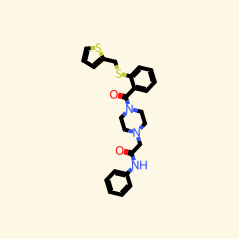 O=C(CN1CCN(C(=O)c2ccccc2SCc2cccs2)CC1)Nc1ccccc1